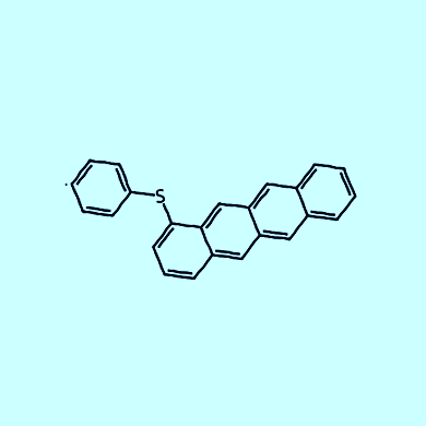 [c]1ccc(Sc2cccc3cc4cc5ccccc5cc4cc23)cc1